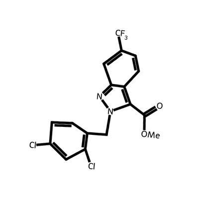 COC(=O)c1c2ccc(C(F)(F)F)cc2nn1Cc1ccc(Cl)cc1Cl